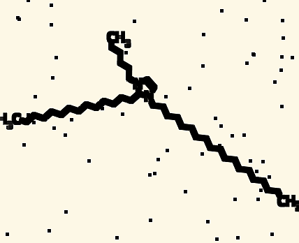 CCCCCCCCCCCCCCCCCCCN1C=CN(CCCCCC)C1CCCCCCCCCCCCCC